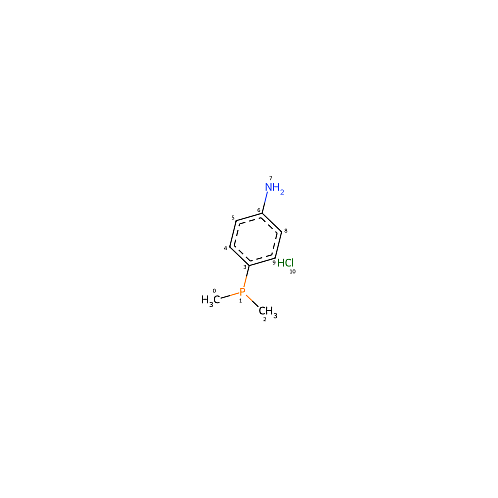 CP(C)c1ccc(N)cc1.Cl